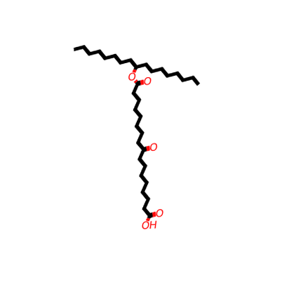 CCCCCCCCC(CCCCCCCC)OC(=O)CCCCCCCC(=O)CCCCCCCC(=O)O